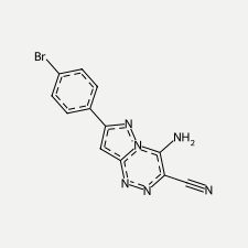 N#Cc1nnc2cc(-c3ccc(Br)cc3)nn2c1N